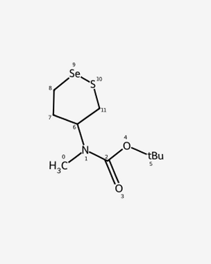 CN(C(=O)OC(C)(C)C)C1CC[Se]SC1